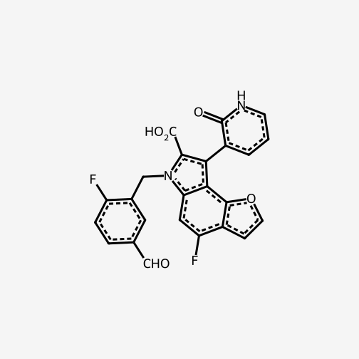 O=Cc1ccc(F)c(Cn2c(C(=O)O)c(-c3ccc[nH]c3=O)c3c4occc4c(F)cc32)c1